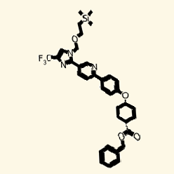 C[Si](C)(C)CCOCn1cc(C(F)(F)F)nc1-c1ccc(-c2ccc(O[C@H]3CC[C@@H](C(=O)OCc4ccccc4)CC3)cc2)nc1